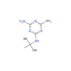 CC(C#N)(C#N)Nc1nc(N)nc(N)n1